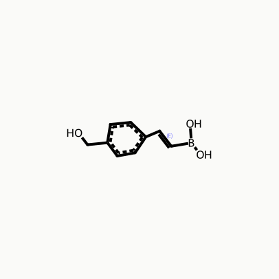 OCc1ccc(/C=C/B(O)O)cc1